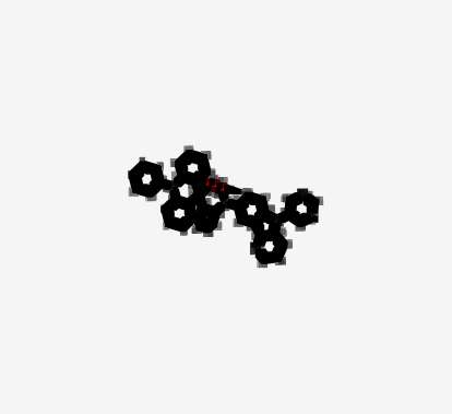 c1ccc(N2c3ccccc3C3(c4ccccc42)c2ccccc2N(c2ccc4c(c2)c2ncccc2n4-c2cncnc2)c2ccccc23)cc1